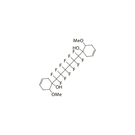 COC1CC=CCC1(O)C(F)(F)C(F)(F)C(F)(F)C(F)(F)C(F)(F)C(F)(F)C1(O)CC=CCC1OC